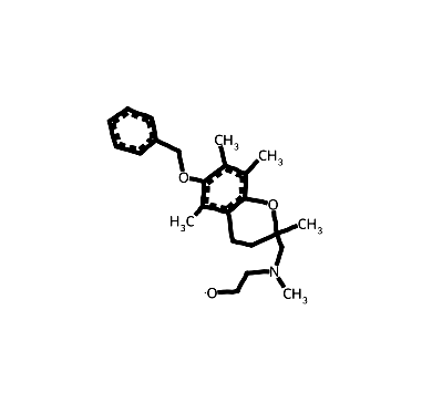 Cc1c(C)c2c(c(C)c1OCc1ccccc1)CCC(C)(CN(C)CC[O])O2